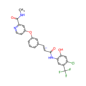 CNC(=O)c1cc(Oc2cccc(/C=C/C(=O)Nc3cc(C(F)(F)F)c(Cl)cc3O)c2)ccn1